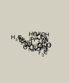 CC(C)c1cc(-c2nnc(C(=O)NCC(F)(F)F)n2-c2ccc(CN3CCC(C(=O)NC4CCN(C)C4)CC3)cc2)c(O)cc1O